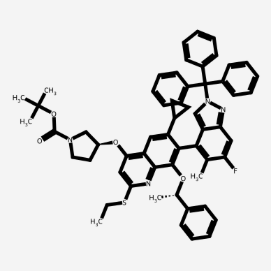 CCSc1cc(O[C@H]2CCN(C(=O)OC(C)(C)C)C2)c2cc(C3CC3)c(-c3c(C)c(F)cc4nn(C(c5ccccc5)(c5ccccc5)c5ccccc5)cc34)c(O[C@@H](C)c3ccccc3)c2n1